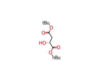 CCCCOC(=O)[C@H](O)CC(=O)OC(C)(C)C